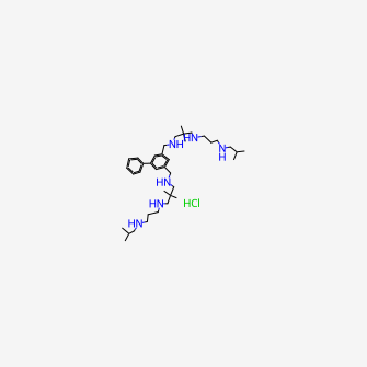 CC(C)CNCCCNCC(C)(C)CNCc1cc(CNCC(C)(C)CNCCCNCC(C)C)cc(-c2ccccc2)c1.Cl